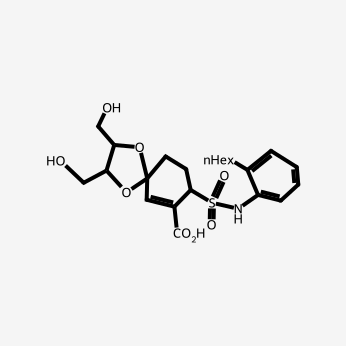 CCCCCCc1ccccc1NS(=O)(=O)C1CCC2(C=C1C(=O)O)OC(CO)C(CO)O2